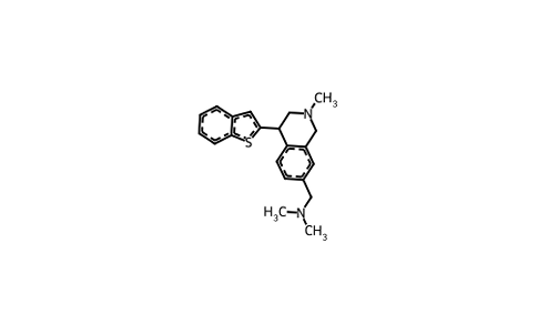 CN(C)Cc1ccc2c(c1)CN(C)CC2c1cc2ccccc2s1